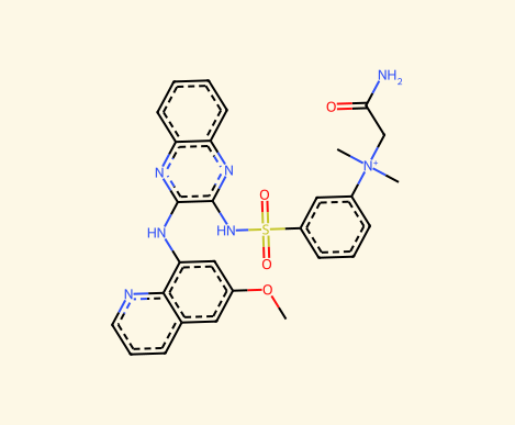 COc1cc(Nc2nc3ccccc3nc2NS(=O)(=O)c2cccc([N+](C)(C)CC(N)=O)c2)c2ncccc2c1